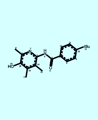 Cc1nc(NC(=O)c2ccc(C(C)(C)C)cc2)c(C)c(C)c1O